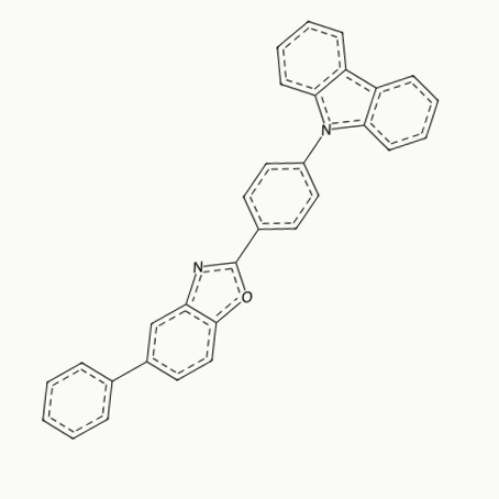 c1ccc(-c2ccc3oc(-c4ccc(-n5c6ccccc6c6ccccc65)cc4)nc3c2)cc1